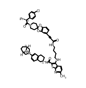 Cc1ccc2c(NCCCCNC(=O)C#Cc3ccc4c(c3)OC3(CCN(C(=O)[C@H](c5ccc(Cl)cc5)C(C)C)CC3)O4)c(C(=O)N[C@H]3CCc4cc(N5C[C@H]6CC[C@@H](C5)N6)ccc4C3)sc2n1